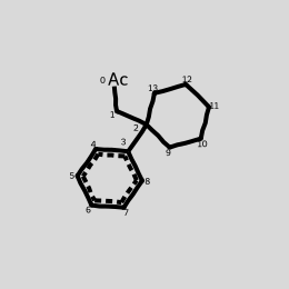 CC(=O)CC1(c2ccccc2)CCCCC1